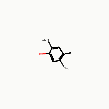 COc1cc(C)c([N+](=O)[O-])cc1O